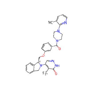 N#Cc1cccnc1N1CCN(C(=O)c2cccc(OC[C@@H]3c4ccccc4CN3c3cn[nH]c(=O)c3C(F)(F)F)c2)CC1